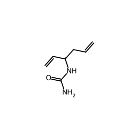 C=CC[C](C=C)NC(N)=O